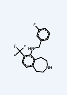 Fc1cccc(CNc2c(C(F)(F)F)ccc3c2CCNCC3)c1